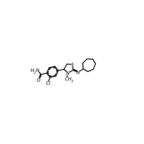 CN1C(=NC2CCCCCC2)SCC1c1ccc(C(N)=O)c(Cl)c1